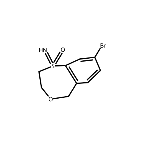 N=S1(=O)CCOCc2ccc(Br)cc21